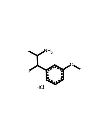 COc1cccc(C(I)C(C)N)c1.Cl